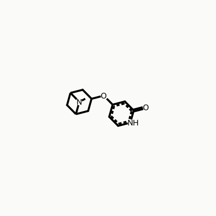 CN1C2CC(Oc3cc[nH]c(=O)c3)CC1C2